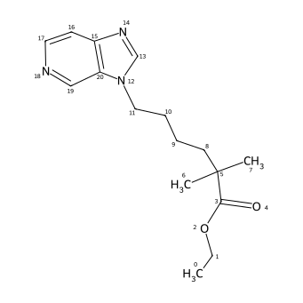 CCOC(=O)C(C)(C)CCCCn1cnc2ccncc21